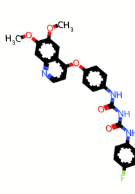 COc1cc2nccc(Oc3ccc(NC(=O)NC(=O)Nc4ccc(F)cc4)cc3)c2cc1OC